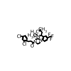 CCNC(CC(C)C)c1cc(C(F)(F)F)ccc1N1CCN(C(=O)CCc2ccc(Cl)cc2Cl)CC1